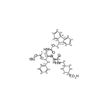 CC(C)(C)OC(=O)C[C@H](NC(=O)OCC1c2ccccc2-c2ccccc21)C(CCc1ccccc1)=NNC(=O)NCC1CCC(C(=O)O)CC1